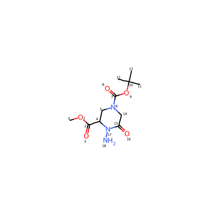 COC(=O)C1CN(C(=O)OC(C)(C)C)CC(=O)N1N